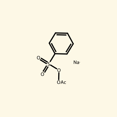 CC(=O)OOS(=O)(=O)c1ccccc1.[Na]